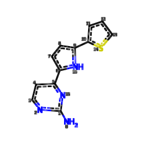 Nc1nccc(-c2ccc(-c3cccs3)[nH]2)n1